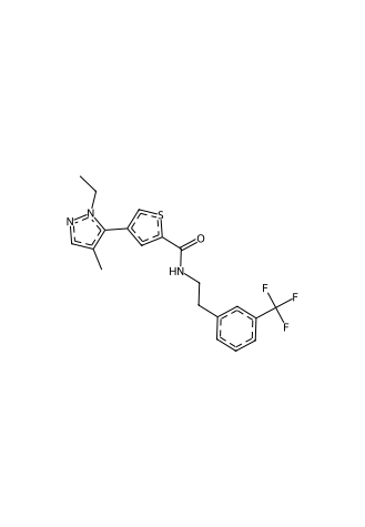 CCn1ncc(C)c1-c1csc(C(=O)NCCc2cccc(C(F)(F)F)c2)c1